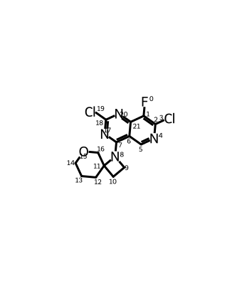 Fc1c(Cl)ncc2c(N3CCC34CCCOC4)nc(Cl)nc12